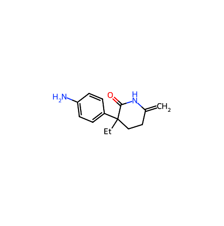 C=C1CCC(CC)(c2ccc(N)cc2)C(=O)N1